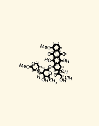 COc1cccc2c1C(=O)c1c(O)c3c(c(O)c1C2=O)C[C@@](O)(C(=O)CO)C[C@@H]3OC1CC(NN2CCOC(OC)C2)C(O)C(C)O1.Cl